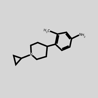 Cc1cc(N)ccc1C1CCN(C2CC2)CC1